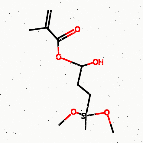 C=C(C)C(=O)OC(O)CC[Si](C)(OC)OC